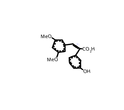 COc1cc(/C=C(/C(=O)O)c2cccc(O)c2)cc(OC)c1